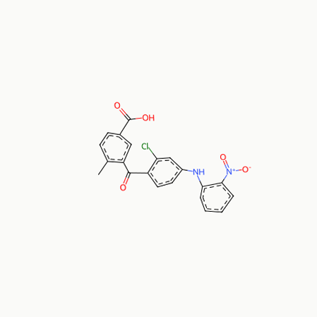 Cc1ccc(C(=O)O)cc1C(=O)c1ccc(Nc2ccccc2[N+](=O)[O-])cc1Cl